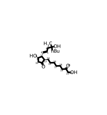 CCCCC(C)(O)CC=C[C@H]1[C@@H](O)CC(=O)[C@@H]1CCCCCCC(=O)CO